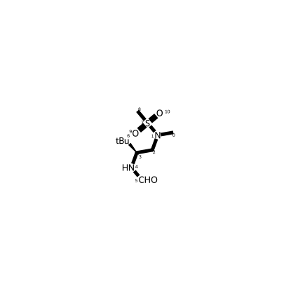 CN(C[C@@H](NC=O)C(C)(C)C)S(C)(=O)=O